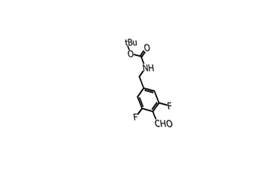 CC(C)(C)OC(=O)NCc1cc(F)c(C=O)c(F)c1